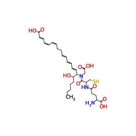 CCCCCC(O)C(C=CC=CC=CCC/C=C\C=C/C=CC(=O)O)N(CC(=O)O)C(=O)C(CS)NC(=O)CCC(N)C(=O)O